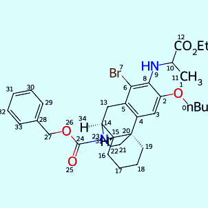 CCCCOc1cc2c(c(Br)c1NC(C)C(=O)OCC)C[C@H]1[C@H]3CCCC[C@@]23CCN1C(=O)OCc1ccccc1